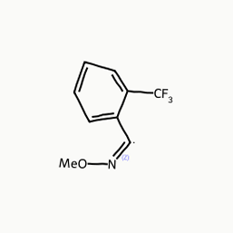 CO/N=[C]\c1ccccc1C(F)(F)F